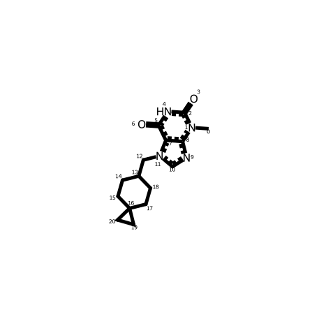 Cn1c(=O)[nH]c(=O)c2c1ncn2CC1CCC2(CC1)CC2